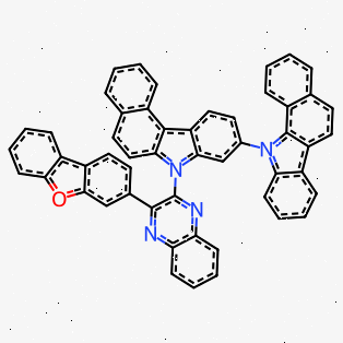 c1ccc2c(c1)ccc1c2c2ccc(-n3c4ccccc4c4ccc5ccccc5c43)cc2n1-c1nc2ccccc2nc1-c1ccc2c(c1)oc1ccccc12